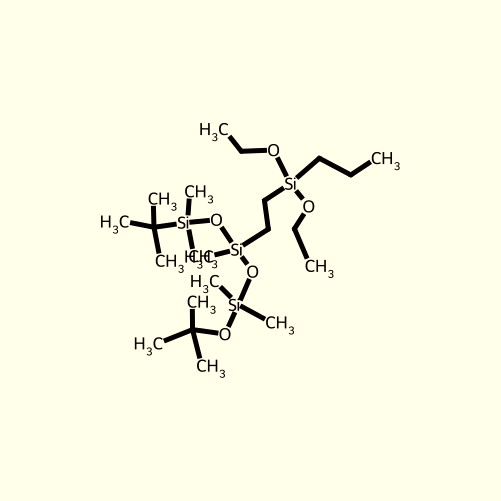 CCC[Si](CC[Si](C)(O[Si](C)(C)OC(C)(C)C)O[Si](C)(C)C(C)(C)C)(OCC)OCC